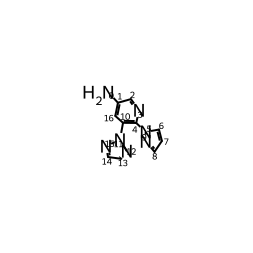 Nc1cnc(-n2cccn2)c(-n2nccn2)c1